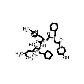 CC(C)C[C@H](O)[C@H](O)[C@H](CC1CCCCC1)NC(=O)[C@@H](CC(=O)N(CC(=O)N1CCC(O)CC1)CC1CCCCC1)Cc1csc(N)n1